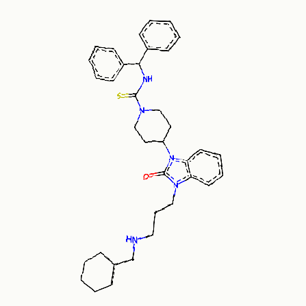 O=c1n(CCCNCC2CCCCC2)c2ccccc2n1C1CCN(C(=S)NC(c2ccccc2)c2ccccc2)CC1